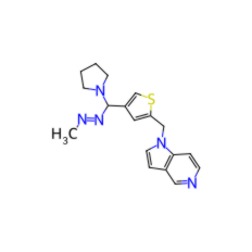 CN=NC(c1csc(Cn2ccc3cnccc32)c1)N1CCCC1